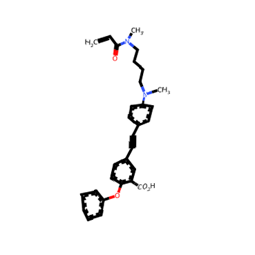 C=CC(=O)N(C)CCCCN(C)c1ccc(C#Cc2ccc(Oc3ccccc3)c(C(=O)O)c2)cc1